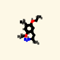 CCOc1cc(CC(C)N)c(OC)cc1C